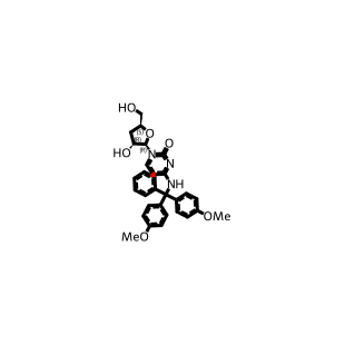 COc1ccc(C(Nc2ccn([C@@H]3O[C@H](CO)C[C@H]3O)c(=O)n2)(c2ccccc2)c2ccc(OC)cc2)cc1